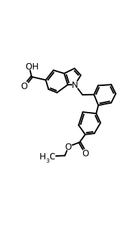 CCOC(=O)c1ccc(-c2ccccc2Cn2ccc3cc(C(=O)O)ccc32)cc1